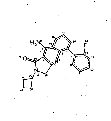 Nc1c2c(nc3c(-c4ccccc4F)cccc13)CN(C1CCC1)C2=O